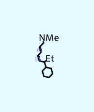 CCC(/C=C\C=C\CNC)C1CCCCC1